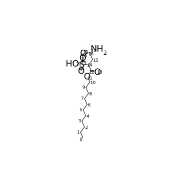 CCCCCCCCCCCOC(=O)C(CC(N)=O)S(=O)(=O)O